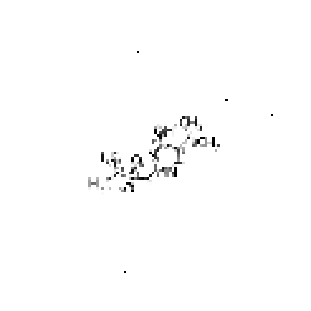 CC(C)c1cnc(CS(=O)(=O)C(C)C)nc1O